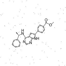 COC(=O)c1ccc(-c2cc3c(N[C@H](C)c4ccccc4)ncnc3[nH]2)cc1